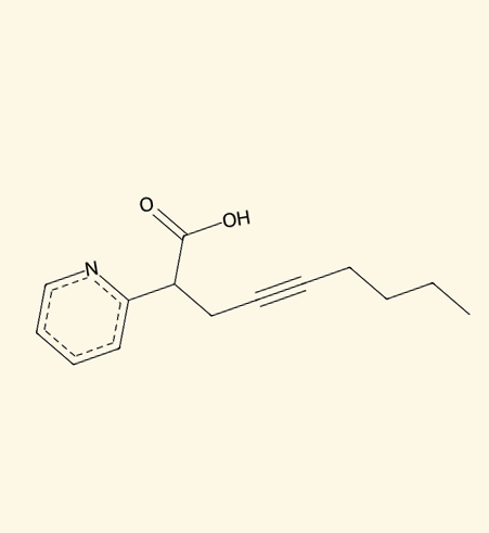 CCCCC#CCC(C(=O)O)c1ccccn1